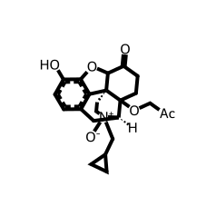 CC(=O)COC12CCC(=O)C3Oc4c(O)ccc5c4[C@@]31CC[N+]([O-])(CC1CC1)[C@@H]2C5